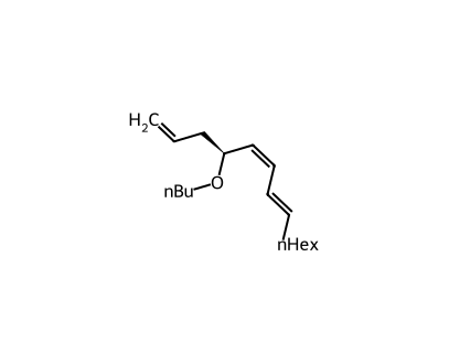 C=CC[C@@H](/C=C\C=C\CCCCCC)OCCCC